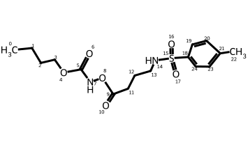 CCCCOC(=O)NOC(=O)CCCNS(=O)(=O)c1ccc(C)cc1